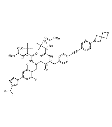 COC(=O)N[C@H](C(=O)N[C@@H](Cc1ccc(C#Cc2ccc(N3CC4(COC4)C3)nc2)cc1)[C@@H](O)CN(Cc1c(F)cc(-c2cnn(C(F)F)c2)cc1F)NC(=O)[C@@H](NC(=O)OC)C(C)(C)C(F)(F)F)C(C)(C)C(F)(F)F